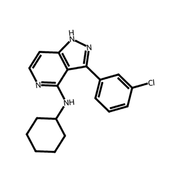 Clc1cccc(-c2n[nH]c3ccnc(NC4CCCCC4)c23)c1